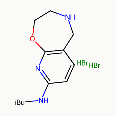 Br.Br.CCC(C)Nc1ccc2c(n1)OCCNC2